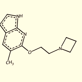 Cc1cc2cc[nH]c2nc1OCCN1CCC1